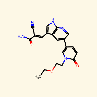 CCOCCn1cc(-c2cnc3[nH]cc(/C=C(\C#N)C(N)=O)c3c2)ccc1=O